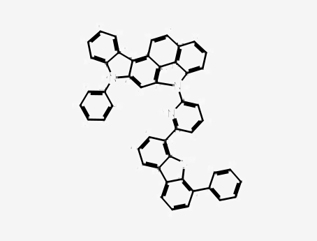 c1ccc(-c2cccc3c2sc2c(-c4cccc(-n5c6cccc7ccc8c9c%10ccccc%10n(-c%10ccccc%10)c9cc5c8c76)n4)cccc23)cc1